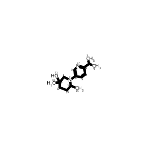 CC(C)c1ccc(N2CC(C)(O)CCC2C)cn1